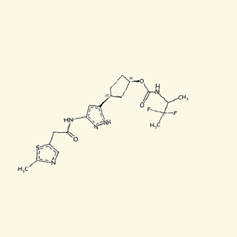 Cc1ncc(CC(=O)Nc2cc([C@H]3CC[C@@H](OC(=O)NC(C)C(C)(F)F)C3)[nH]n2)s1